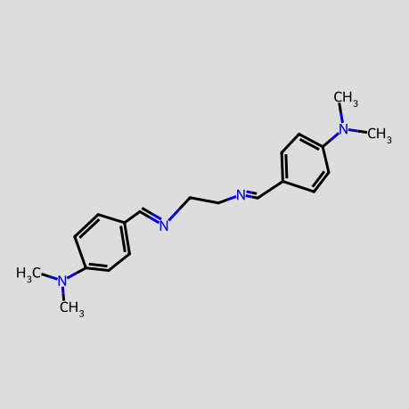 CN(C)c1ccc(/C=N/CC/N=C/c2ccc(N(C)C)cc2)cc1